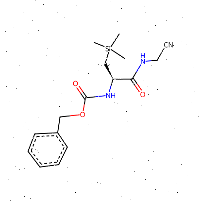 C[Si](C)(C)C[C@H](NC(=O)OCc1ccccc1)C(=O)NCC#N